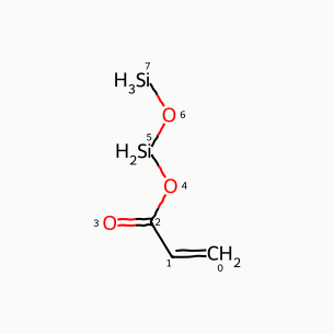 C=CC(=O)O[SiH2]O[SiH3]